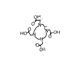 C[C@@H](C(=O)O)N1CCN(CC(=O)O)CCN(CC(=O)O)CCN(CC(=O)O)CC1